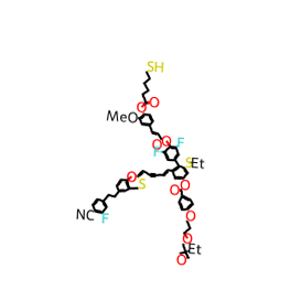 CCSc1cc(OC(=O)c2ccc(OCCCOCC3(CC)COC3)cc2)cc(/C=C/C#C/C=C2/Oc3ccc(CCc4ccc(C#N)c(F)c4)cc3CS2)c1-c1cc(F)c(OC(=O)/C=C/c2ccc(OC(=O)CCCCCS)c(OC)c2)c(F)c1